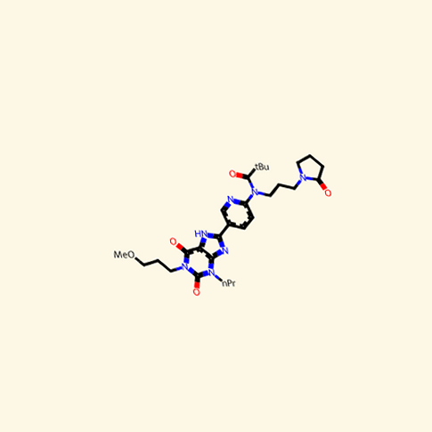 CCCn1c(=O)n(CCCOC)c(=O)c2[nH]c(-c3ccc(N(CCCN4CCCC4=O)C(=O)C(C)(C)C)nc3)nc21